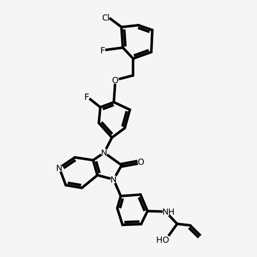 C=CC(O)Nc1cccc(-n2c(=O)n(-c3ccc(OCc4cccc(Cl)c4F)c(F)c3)c3cnccc32)c1